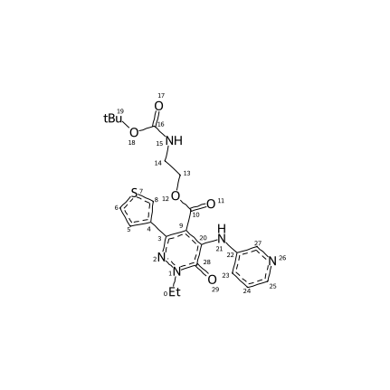 CCn1nc(-c2ccsc2)c(C(=O)OCCNC(=O)OC(C)(C)C)c(Nc2cccnc2)c1=O